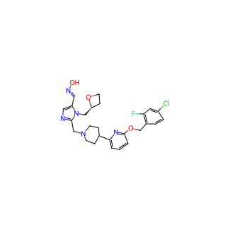 O/N=C/c1cnc(CN2CCC(c3cccc(OCc4ccc(Cl)cc4F)n3)CC2)n1C[C@@H]1CCO1